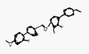 C=Cc1ccc(-c2ccc(OCc3ccc(-c4ccc(OC)cc4F)cc3)c(F)c2F)cc1